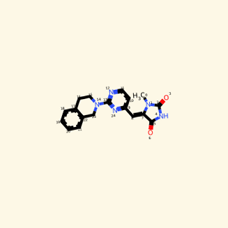 CN1C(=O)NC(=O)/C1=C/c1ccnc(N2CCc3ccccc3C2)n1